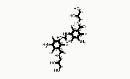 Nc1c(I)c(NC(=O)Nc2c(I)c(N)c(I)c(C(=O)NCC(O)CO)c2I)c(I)c(C(=O)NCC(O)CO)c1I